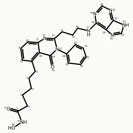 O=C(CCCCCc1cccc2nc(CCCNc3ncnc4[nH]cnc34)n(-c3ccccc3)c(=O)c12)NO